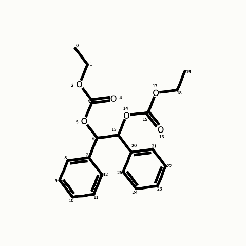 CCOC(=O)OC(c1ccccc1)C(OC(=O)OCC)c1ccccc1